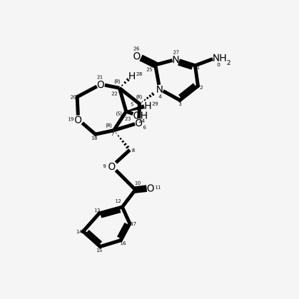 Nc1ccn([C@@H]2O[C@@]3(COC(=O)c4ccccc4)COCO[C@@H]2[C@@H]3O)c(=O)n1